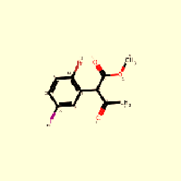 COC(=O)C(C(C)=O)c1cc(I)ccc1Br